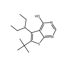 CCN(CC)c1c(C(C)(C)C)sc2ncnc(O)c12